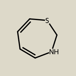 C1=CNCSC=C1